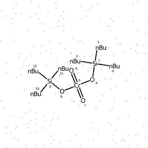 CCCC[Si](CCCC)(CCCC)[O][Cr](=[O])(=[O])[O][Si](CCCC)(CCCC)CCCC